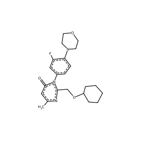 Cc1cc(=O)n(-c2ccc(N3CCOCC3)c(F)c2)c(COC2CCCCC2)n1